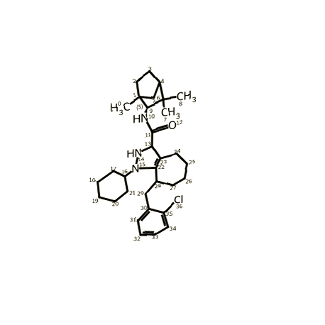 CC12CCC(C1)C(C)(C)[C@H]2NC(=O)C1NN(C2CCCCC2)C2=C1CCCCC2Cc1ccccc1Cl